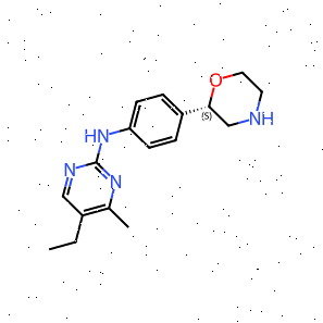 CCc1cnc(Nc2ccc([C@H]3CNCCO3)cc2)nc1C